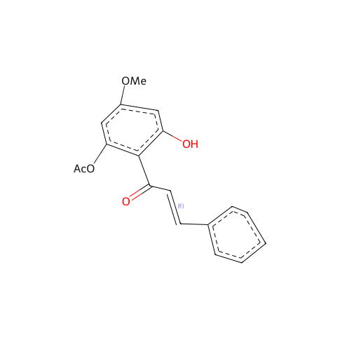 COc1cc(O)c(C(=O)/C=C/c2ccccc2)c(OC(C)=O)c1